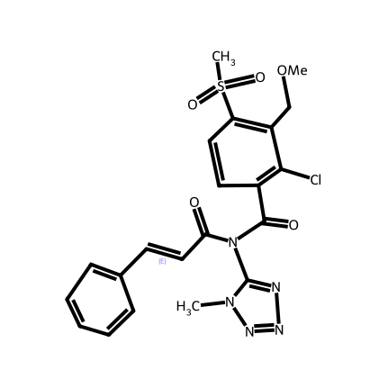 COCc1c(S(C)(=O)=O)ccc(C(=O)N(C(=O)/C=C/c2ccccc2)c2nnnn2C)c1Cl